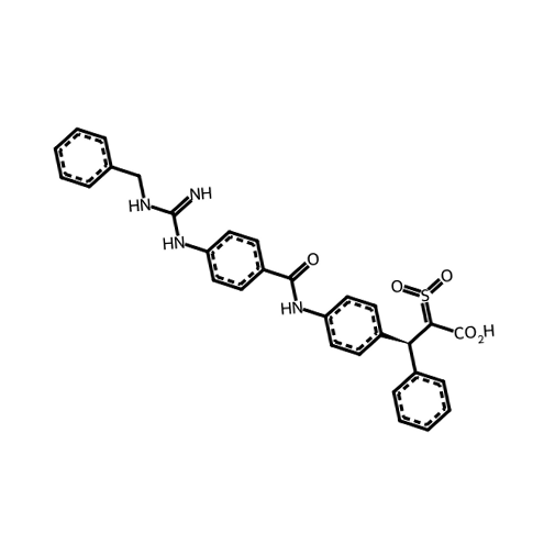 N=C(NCc1ccccc1)Nc1ccc(C(=O)Nc2ccc([C@@H](C(C(=O)O)=S(=O)=O)c3ccccc3)cc2)cc1